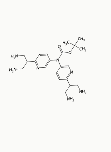 CC(C)(C)OC(=O)N(c1ccc(C(CN)CN)nc1)c1ccc(C(CN)CN)nc1